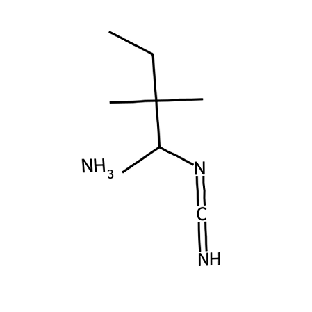 CCC(C)(C)C(C)N=C=N.N